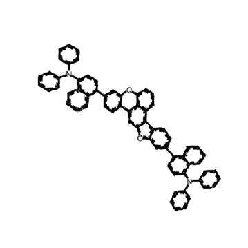 c1ccc(N(c2ccccc2)c2ccc(-c3ccc4c(c3)Oc3cccc5c3c-4cc3oc4cc(-c6ccc(N(c7ccccc7)c7ccccc7)c7ccccc67)ccc4c35)c3ccccc23)cc1